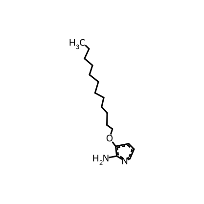 CCCCCCCCCCCCOc1cccnc1N